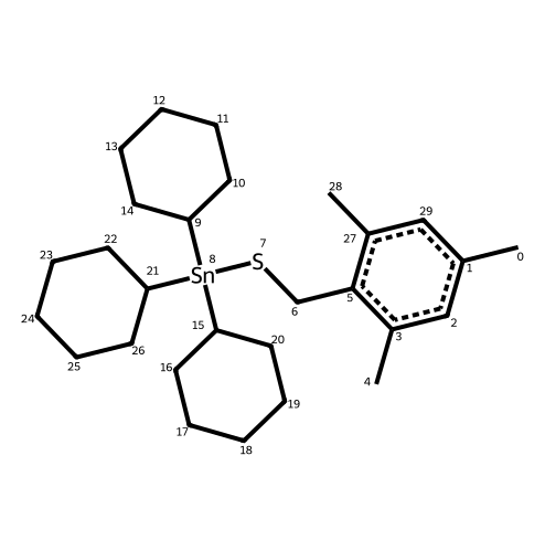 Cc1cc(C)c(C[S][Sn]([CH]2CCCCC2)([CH]2CCCCC2)[CH]2CCCCC2)c(C)c1